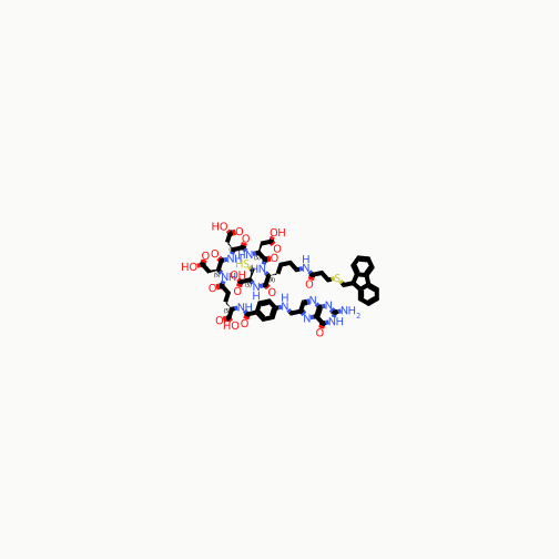 Nc1nc2ncc(CNc3ccc(C(=O)N[C@@H](CCC(=O)N[C@@H](CC(=O)O)C(=O)N[C@H](CC(=O)O)C(=O)N[C@@H](CC(=O)O)C(=O)N[C@H](CCCCNC(=O)CCSCC4c5ccccc5-c5ccccc54)C(=O)N[C@H](CS)C(=O)O)C(=O)O)cc3)nc2c(=O)[nH]1